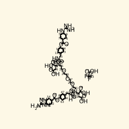 N=C(N)Nc1ccc(C(=O)Oc2ccc(CNS(=O)(=O)N(CCOCCOCCOCCN([C@@H](CC(=O)O)C(=O)O)S(=O)(=O)NCc3ccc(OC(=O)c4ccc(NC(=N)N)cc4)cc3)[C@@H](CC(=O)O)C(=O)O)cc2)cc1.O=C(O)C(F)(F)F